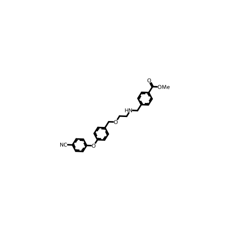 COC(=O)c1ccc(CNCCOCc2ccc(Oc3ccc(C#N)cc3)cc2)cc1